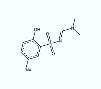 CCC(C)c1ccc(O)c(S(=O)(=O)/N=C/N(C)C)c1